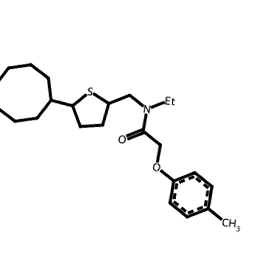 CCN(CC1CCC(C2CCCCCCC2)S1)C(=O)COc1ccc(C)cc1